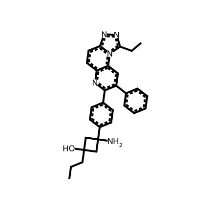 CCCC1(O)CC(N)(c2ccc(-c3nc4ccc5nnc(CC)n5c4cc3-c3ccccc3)cc2)C1